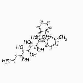 C=CCC(O)[C@H](O)[C@@H](O)[C@H](O)[C@H](O)C(O)=C1c2ccc(C)c(c2C)C1c1ccccc1